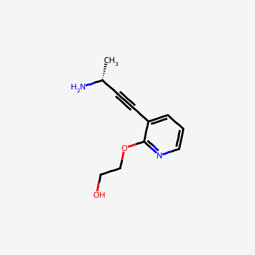 C[C@@H](N)C#Cc1cccnc1OCCO